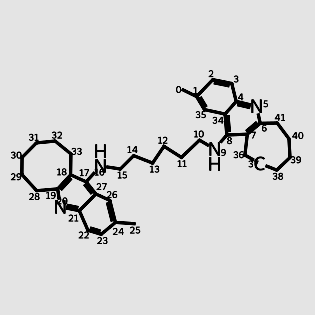 Cc1ccc2nc3c(c(NCCCCCCNc4c5c(nc6ccc(C)cc46)CCCCCC5)c2c1)CCCCCC3